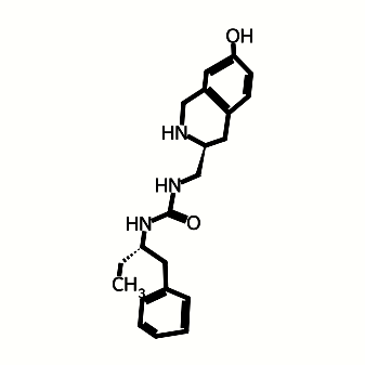 CC[C@@H](Cc1ccccc1)NC(=O)NC[C@@H]1Cc2ccc(O)cc2CN1